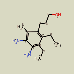 CCc1c(N)c(N)c(C)c(CCCO)c1CC